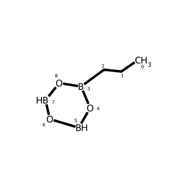 CCCB1OBOBO1